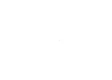 CCC[CH2][AlH][C](=O)C(C)CC